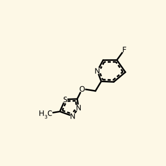 Cc1nnc(OCc2ccc(F)cn2)s1